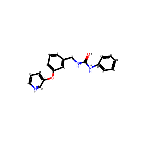 O=C(NCc1cccc(Oc2cccnc2)c1)Nc1ccccc1